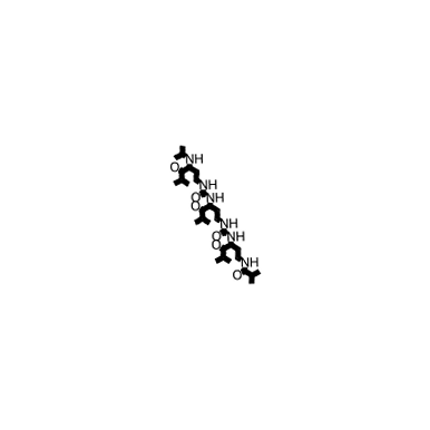 CC(C)NC(CCNC(=O)NC(CCNC(=O)NC(CCNC(=O)C(C)C)C(=O)C(C)C)C(=O)C(C)C)C(=O)C(C)C